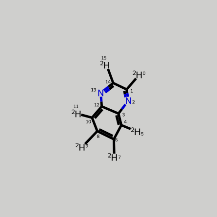 [2H]c1nc2c([2H])c([2H])c([2H])c([2H])c2nc1[2H]